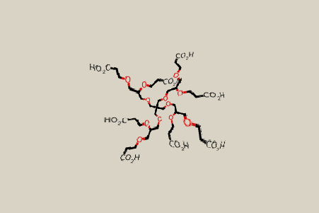 O=C(O)CCOCC(COCC(COCC(COCCC(=O)O)OCCC(=O)O)(COCC(COCCC(=O)O)OCCC(=O)O)COCC(COCCC(=O)O)OCCC(=O)O)OCCC(=O)O